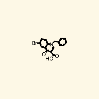 O=C(O)c1cn(Cc2ccccc2)c2ccc(Br)cc2c1=O